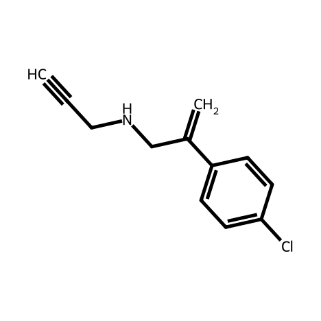 C#CCNCC(=C)c1ccc(Cl)cc1